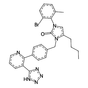 CCCCc1cn(-c2c(C)cccc2Br)c(=O)n1Cc1ccc(-c2ncccc2-c2nnn[nH]2)cc1